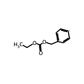 CCOC(=O)OCc1cc[c]cc1